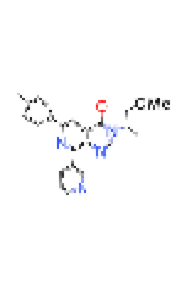 COCC(C)n1cnc2c(-c3cccnc3)nc(-c3ccc(C)cc3)cc2c1=O